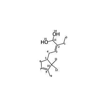 CCC(=CCC1CC=C(C)C1(C)C)C(O)O